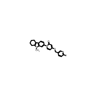 Cn1c2c(c3ccc(-n4ccc(OCc5ccc(F)nc5)cc4=O)cc31)CCCC2